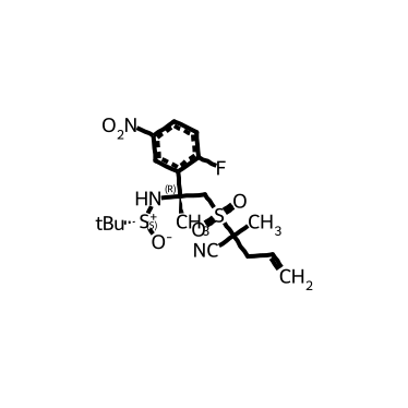 C=CCC(C)(C#N)S(=O)(=O)C[C@](C)(N[S@+]([O-])C(C)(C)C)c1cc([N+](=O)[O-])ccc1F